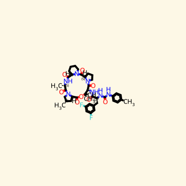 Cc1ccc(NC(=O)N[C@@H](Cc2cc(F)cc(F)c2)C(=O)N[C@@H]2C(=O)N3CCC[C@H]3C(=O)N3CCCC[C@H]3C(=O)N[C@@H](C)C(=O)N3C[C@@H](C)C[C@H]3C(=O)OC2(C)C)cc1